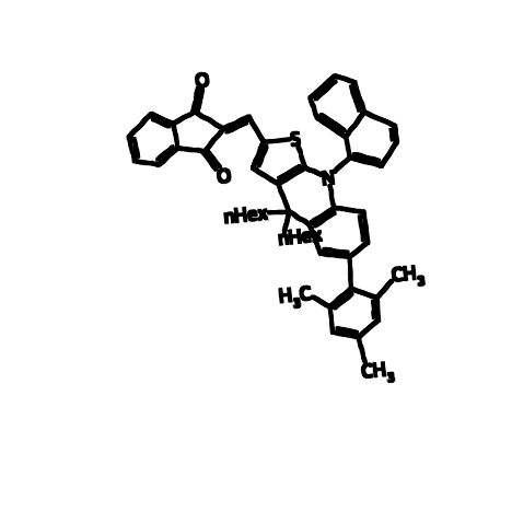 CCCCCCC1(CCCCCC)c2cc(-c3c(C)cc(C)cc3C)ccc2N(c2cccc3ccccc23)c2sc(C=C3C(=O)c4ccccc4C3=O)cc21